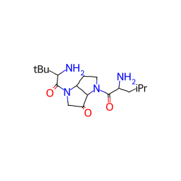 CC(C)CC(N)C(=O)N1CCC2C1C(=O)CN2C(=O)C(N)C(C)(C)C